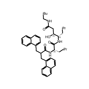 CCC(C)CNC(=O)C[C@H](O)[C@H](CC(C)C)NC(=O)[C@H](CC(C)C)NC(=O)C(Cc1cccc2ccccc12)Cc1cccc2ccccc12